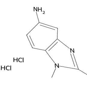 Cc1nc2cc(N)ccc2n1C.Cl.Cl